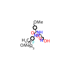 COCc1ccc(C(NC(=O)Cc2cc(O)no2)C(=O)Nc2ccc(C(C)(C)COC)c(F)c2)cc1